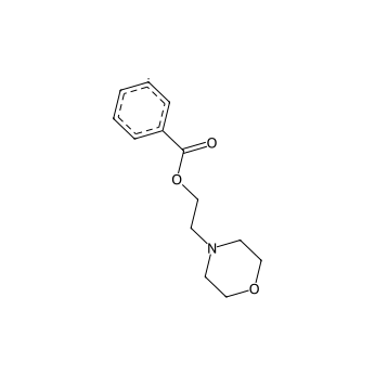 O=C(OCCN1CCOCC1)c1c[c]ccc1